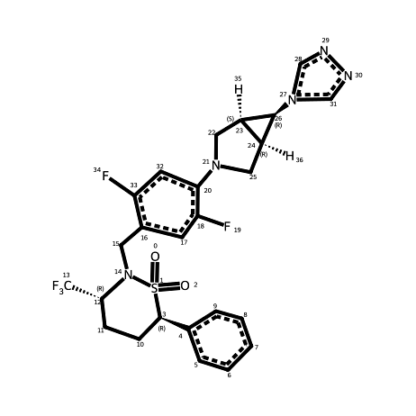 O=S1(=O)[C@@H](c2ccccc2)CC[C@H](C(F)(F)F)N1Cc1cc(F)c(N2C[C@@H]3[C@H](C2)[C@@H]3n2cnnc2)cc1F